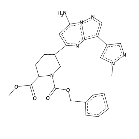 COC(=O)C1CCC(c2cc(N)n3ncc(-c4cnn(C)c4)c3n2)CN1C(=O)OCc1ccccc1